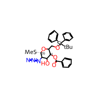 CS[C@@H]1OC(CO[Si](c2ccccc2)(c2ccccc2)C(C)(C)C)[C@@H](OC(=O)c2ccccc2)C(O)C1N=[N+]=[N-]